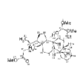 CC[C@H]1[C@@H](OC(OC)OC)[C@@H]2[C@H](CC[C@]3(C)[C@@H]([C@H](C)CCC(=O)OC)CC[C@@H]23)[C@@]2(C)CCCC[C@@H]12